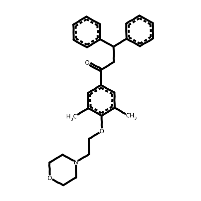 Cc1cc(C(=O)CC(c2ccccc2)c2ccccc2)cc(C)c1OCCN1CCOCC1